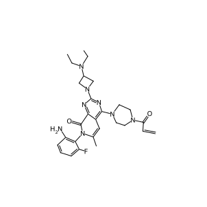 C=CC(=O)N1CCN(c2nc(N3CC(N(CC)CC)C3)nc3c(=O)n(-c4c(N)cccc4F)c(C)cc23)CC1